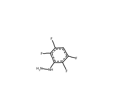 NNc1c(F)c(F)cc(F)c1F